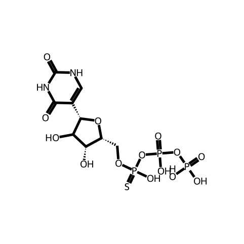 O=c1[nH]cc([C@@H]2O[C@H](COP(O)(=S)OP(=O)(O)OP(=O)(O)O)[C@H](O)C2O)c(=O)[nH]1